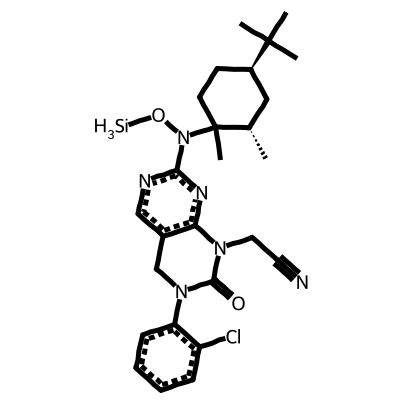 C[C@H]1C[C@H](C(C)(C)C)CCC1(C)N(O[SiH3])c1ncc2c(n1)N(CC#N)C(=O)N(c1ccccc1Cl)C2